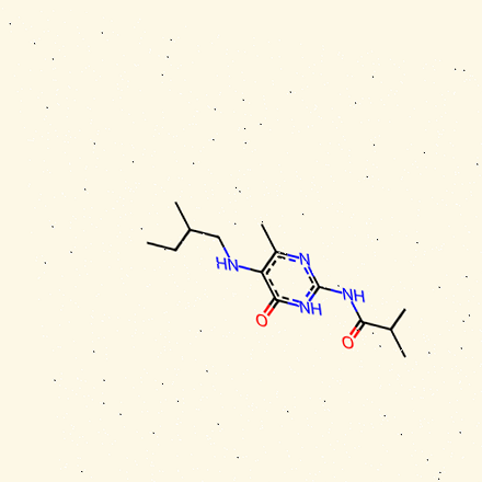 CCC(C)CNc1c(C)nc(NC(=O)C(C)C)[nH]c1=O